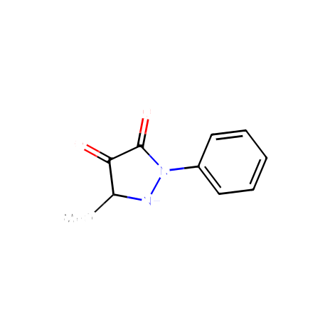 COC1NN(c2ccccc2)C(=O)C1=O